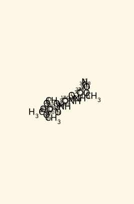 COc1cc(NC(=O)Nc2cccc(NC(=O)C(=O)c3cc(OC)c(OC)c(OC)c3)c2)ccc1-c1cnco1